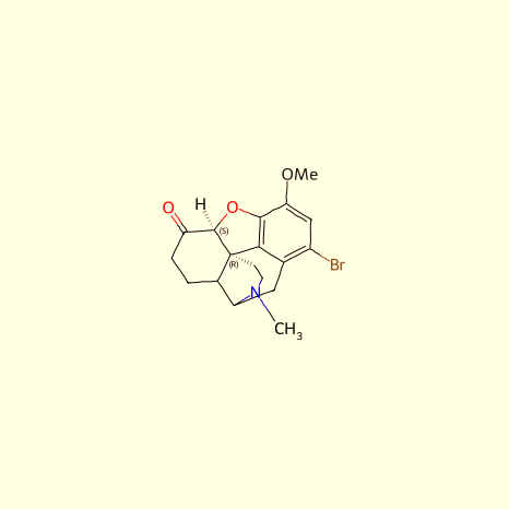 COc1cc(Br)c2c3c1O[C@@H]1C(=O)CCC4C(C2)N(C)CC[C@]341